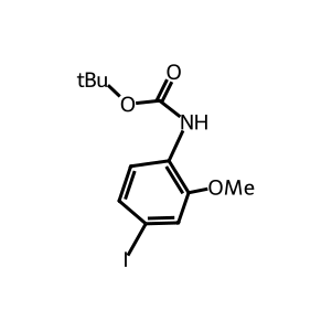 COc1cc(I)ccc1NC(=O)OC(C)(C)C